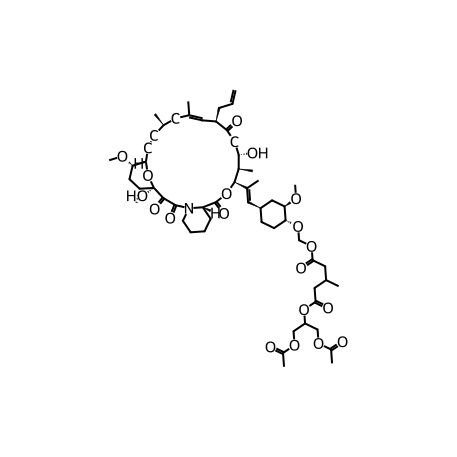 C=CC[C@@H]1/C=C(\C)C[C@H](C)CC[C@H]2O[C@@](O)(C(=O)C(=O)N3CCCC[C@H]3C(=O)O[C@H](/C(C)=C/[C@@H]3CC[C@@H](OCOC(=O)CC(C)CC(=O)OC(COC(C)=O)COC(C)=O)[C@H](OC)C3)[C@H](C)[C@@H](O)CC1=O)[C@H](C)C[C@@H]2OC